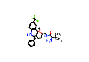 CC(C)[C@@H](N)C(=O)NC[C@H]1CC[C@@H]2[C@H](O1)c1cc(C(F)(F)F)ccc1N[C@H]2c1ccccc1